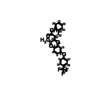 CC(Oc1ccc(Oc2ccc(C(F)(F)F)cc2)cc1)C(=O)[C@@H](Cc1ccccc1)C(=O)O